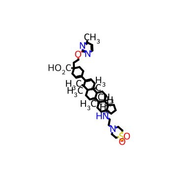 Cc1ccnc(OCCC2(C(=O)O)CC=C(C3=CC[C@@]4(C)C(CC[C@]5(C)C4CC[C@@H]4[C@H]6CCC[C@]6(NCCN6CCS(=O)(=O)CC6)CC[C@]45C)C3(C)C)CC2)n1